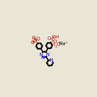 O.O=S(=O)([O-])c1ccc(-c2nnc(-c3ccccn3)nc2-c2ccc(S(=O)(=O)O)cc2)cc1.[Na+]